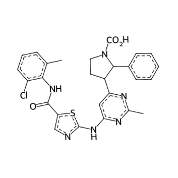 Cc1nc(Nc2ncc(C(=O)Nc3c(C)cccc3Cl)s2)cc(C2CCN(C(=O)O)C2c2ccccc2)n1